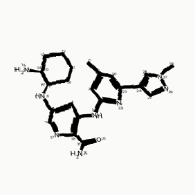 Cc1cc(Nc2cc(N[C@@H]3CCCC[C@@H]3N)cnc2C(N)=O)nc(-c2cnn(C)c2)c1